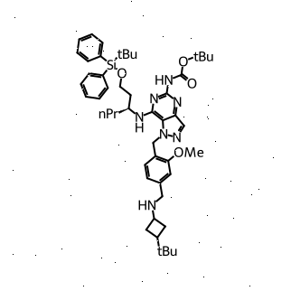 CCC[C@@H](CCO[Si](c1ccccc1)(c1ccccc1)C(C)(C)C)Nc1nc(NC(=O)OC(C)(C)C)nc2cnn(Cc3ccc(CNC4CC(C(C)(C)C)C4)cc3OC)c12